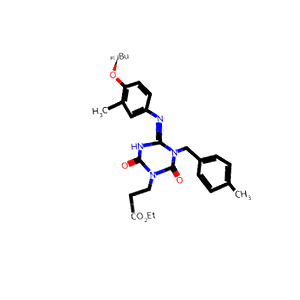 CCOC(=O)CCn1c(=O)[nH]/c(=N\c2ccc(O[C@H](C)CC)c(C)c2)n(Cc2ccc(C)cc2)c1=O